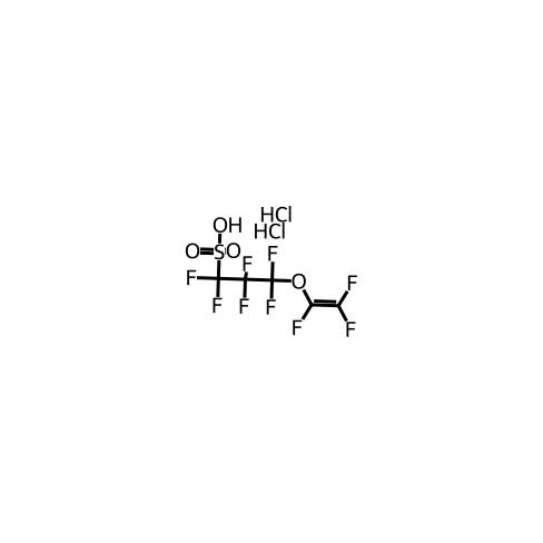 Cl.Cl.O=S(=O)(O)C(F)(F)C(F)(F)C(F)(F)OC(F)=C(F)F